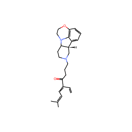 C=C/C(=C\C=C(C)C)C(=O)CCCN1CCC2[C@@H](C1)c1cccc3c1N2CCO3